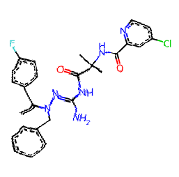 C=C(c1ccc(F)cc1)N(Cc1ccccc1)/N=C(\N)NC(=O)C(C)(C)NC(=O)c1cc(Cl)ccn1